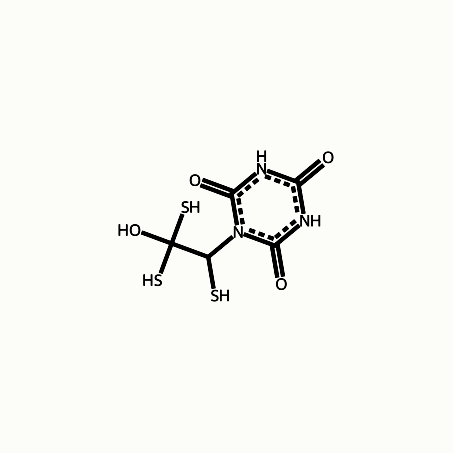 O=c1[nH]c(=O)n(C(S)C(O)(S)S)c(=O)[nH]1